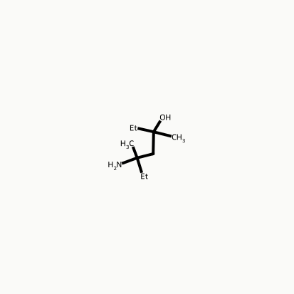 CCC(C)(N)CC(C)(O)CC